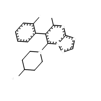 CC1CCN(c2c(-c3ccccc3Cl)c(Cl)nc3ncnn23)CC1